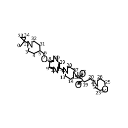 CC1(N2CCC(COc3cnc(N4CCN(S(=O)(=O)CCN5CCOCC5)CC4)cn3)CC2)CC1